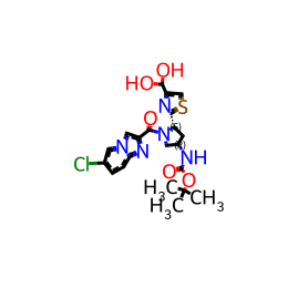 CC(C)(C)OC(=O)N[C@@H]1C[C@@H](c2nc(C(O)O)cs2)N(C(=O)c2cn3cc(Cl)ccc3n2)C1